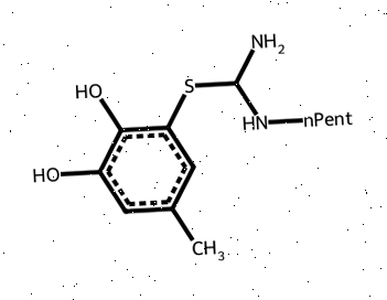 CCCCCNC(N)Sc1cc(C)cc(O)c1O